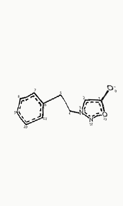 [O-]c1c[n+](CCc2ccccc2)no1